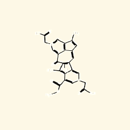 COC(=O)c1c[n+](CC(=O)O)cc2c1/C(=C\c1cc(C)c3c(C(=O)OC)cn(CC(=O)O)cc1-3)C=C2C